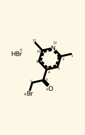 Br.Cc1cc(C(=O)CBr)cc(C)n1